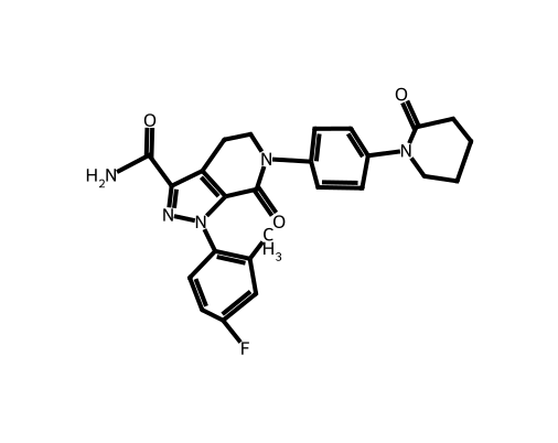 Cc1cc(F)ccc1-n1nc(C(N)=O)c2c1C(=O)N(c1ccc(N3CCCCC3=O)cc1)CC2